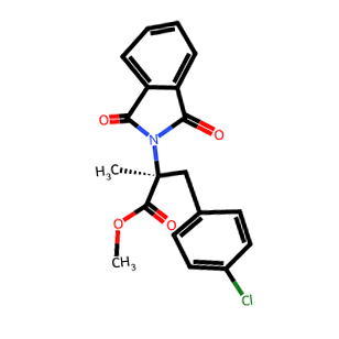 COC(=O)[C@](C)(Cc1ccc(Cl)cc1)N1C(=O)c2ccccc2C1=O